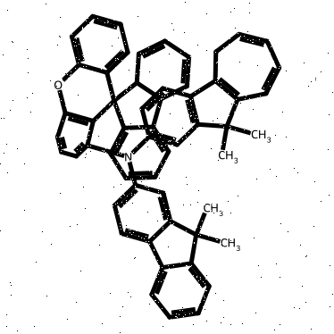 CC1(C)C2=C(CC=CC=C2)c2ccc(N(c3ccc4c(c3)C(C)(C)c3ccccc3-4)c3cccc4c3C3(c5ccccc5O4)c4ccccc4C4C=CC=CC43)cc21